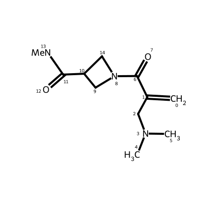 C=C(CN(C)C)C(=O)N1CC(C(=O)NC)C1